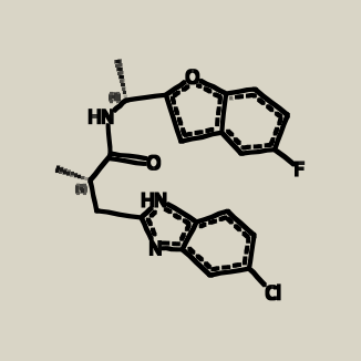 C[C@@H](Cc1nc2cc(Cl)ccc2[nH]1)C(=O)N[C@H](C)c1cc2cc(F)ccc2o1